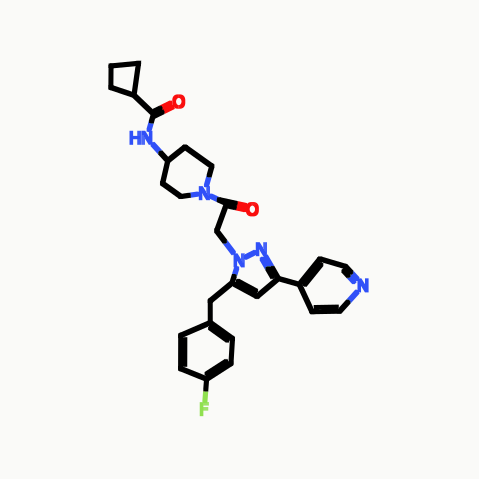 O=C(NC1CCN(C(=O)Cn2nc(-c3ccncc3)cc2Cc2ccc(F)cc2)CC1)C1CCC1